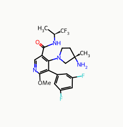 COc1ncc(C(=O)N[C@@H](C)C(F)(F)F)c(N2CC[C@](C)(N)C2)c1-c1cc(F)cc(F)c1